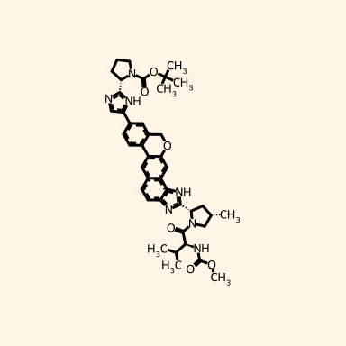 COC(=O)N[C@H](C(=O)N1C[C@@H](C)C[C@H]1c1nc2ccc3cc4c(cc3c2[nH]1)OCc1cc(-c2cnc([C@@H]3CCCN3C(=O)OC(C)(C)C)[nH]2)ccc1-4)C(C)C